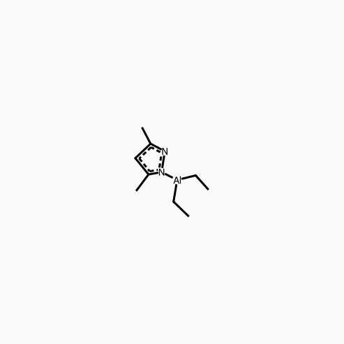 C[CH2][Al]([CH2]C)[n]1nc(C)cc1C